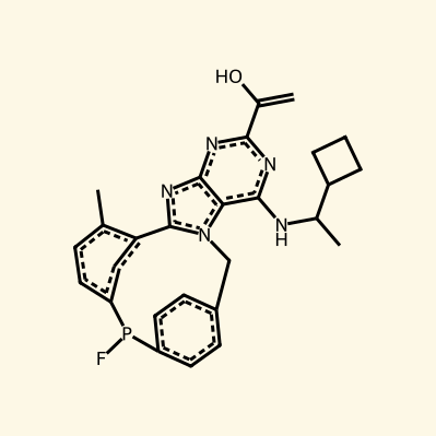 C=C(O)c1nc(NC(C)C2CCC2)c2c(n1)nc1n2Cc2ccc(cc2)P(F)c2ccc(C)c-1c2